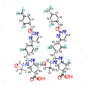 CC1(C)COCC1n1c(Cc2cc(F)c(-c3ccnc(OCc4ccc(C(F)F)cc4F)n3)cc2F)nc2c(F)cc(C(=O)O)cc21.CC1(C)COCC1n1c(Cc2cc(F)c(-c3ccnc(OCc4ccc(C(F)F)cc4F)n3)cc2F)nc2c(F)cc(C(=O)O)cc21